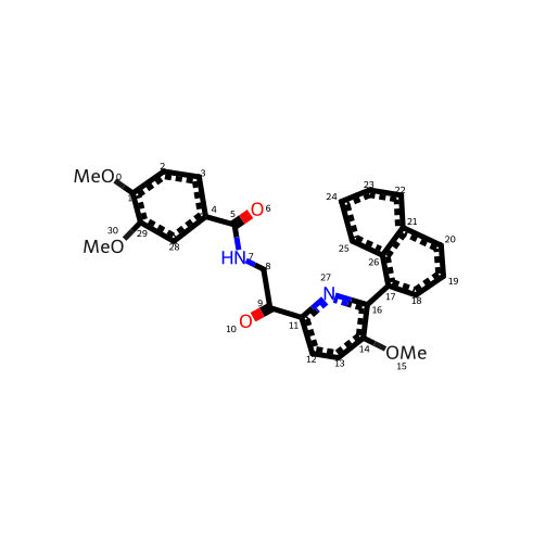 COc1ccc(C(=O)NCC(=O)c2ccc(OC)c(-c3cccc4ccccc34)n2)cc1OC